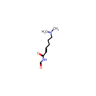 CN(C)CCCC=CC(=O)NC=O